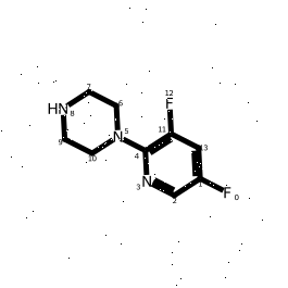 Fc1cnc(N2CCNCC2)c(F)c1